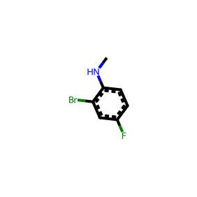 CNc1ccc(F)cc1Br